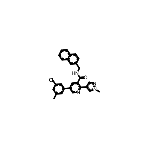 Cc1cc(Cl)cc(-c2cnc(-c3cnn(C)c3)c(C(=O)NCc3ccc4ccccc4c3)c2)c1